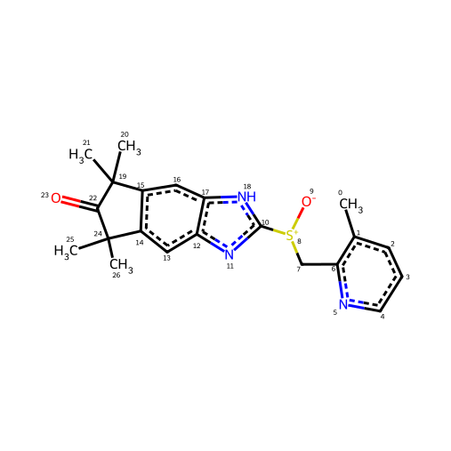 Cc1cccnc1C[S+]([O-])c1nc2cc3c(cc2[nH]1)C(C)(C)C(=O)C3(C)C